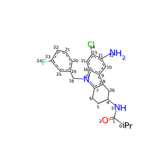 CC(C)C(=O)NC1CCc2c(c3cc(N)c(Cl)cc3n2Cc2cccc(F)c2)C1